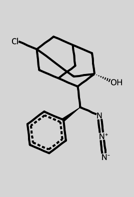 [N-]=[N+]=N[C@@H](c1ccccc1)C1C2CC3CC(Cl)(C2)C[C@@]1(O)C3